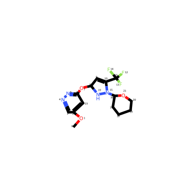 COc1cnnc(OC2C=C(C(F)(F)F)N(C3CCCCO3)N2)c1